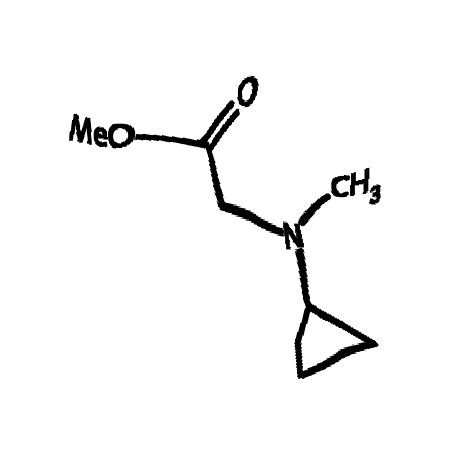 COC(=O)CN(C)C1CC1